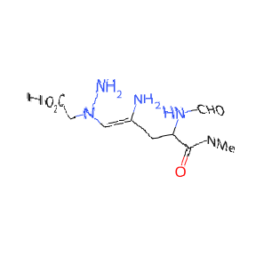 CNC(=O)C(C/C(N)=C/N(N)CC(=O)O)NC=O